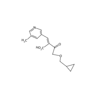 Cc1cncc(/C=C(\C(=O)O)C(=O)COCC2CC2)c1